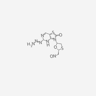 NN=NC1N=Cc2sc(=O)n(C3CS[C@@H](CN=O)O3)c2N1